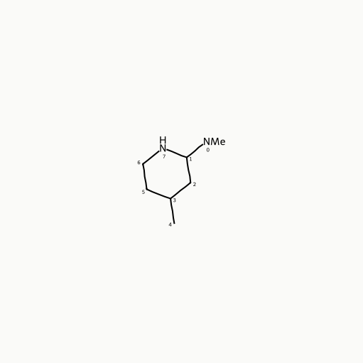 CNC1CC(C)CCN1